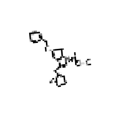 CN1CCC[C@@H]1Cc1cn(N(C)C=O)c2ccc(OCc3ccccc3)cc12